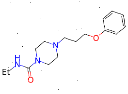 CCNC(=O)N1CCN(CCCOc2ccccc2)CC1